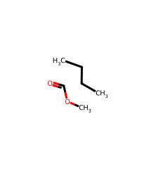 CCCC.COC=O